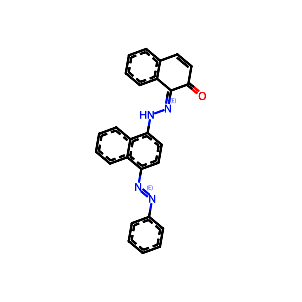 O=C1C=Cc2ccccc2/C1=N\Nc1ccc(/N=N/c2ccccc2)c2ccccc12